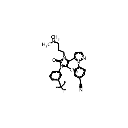 Cc1c(-c2ccnn2-c2ccc(C#N)cc2)n(CCCN(C)C)c(=O)n1-c1cccc(C(F)(F)F)c1